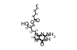 CCCCCC(=O)OCC(CO)CCn1cnc2c(=O)[nH]c(N)nc21